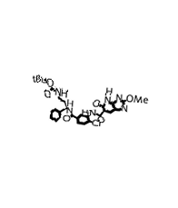 COc1ncc2cc(C(=O)Nc3cc(C(=O)N[C@H](CCNC(=O)OC(C)(C)C)c4ccccc4)ccc3Cl)c(=O)[nH]c2n1